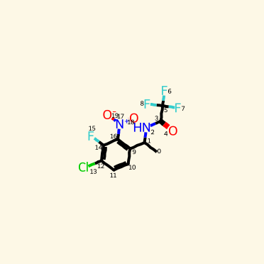 CC(NC(=O)C(F)(F)F)c1ccc(Cl)c(F)c1[N+](=O)[O-]